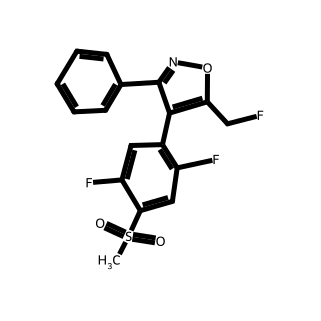 CS(=O)(=O)c1cc(F)c(-c2c(-c3ccccc3)noc2CF)cc1F